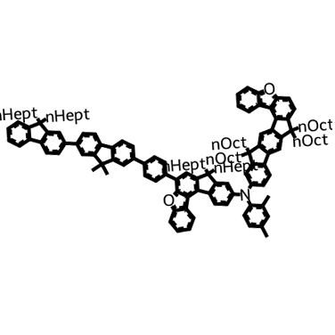 CCCCCCCCC1(CCCCCCCC)c2cc(N(c3ccc4c(c3)C(CCCCCCC)(CCCCCCC)c3cc(-c5ccc(-c6ccc7c(c6)C(C)(C)c6cc(-c8ccc9c(c8)C(CCCCCCC)(CCCCCCC)c8ccccc8-9)ccc6-7)cc5)c5oc6ccccc6c5c3-4)c3ccc(C)cc3C)ccc2-c2cc3c(cc21)-c1c(ccc2oc4ccccc4c12)C3(CCCCCCCC)CCCCCCCC